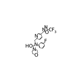 OC(N1CCOCC1)N(Cc1ccc(-c2nnc(C(F)(F)F)o2)cn1)c1cccc(F)c1